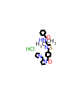 CC(C)(NC(=O)c1ccccc1)c1csc(-c2ccc(C(=O)N3CCCC3CN3CCCC3)cc2)n1.Cl